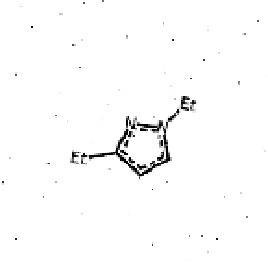 CCc1[c]cn(CC)n1